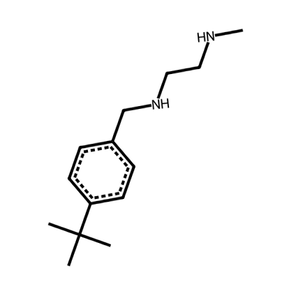 CNCCNCc1ccc(C(C)(C)C)cc1